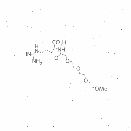 COCCOCCOCCOCC(=O)NC(CCCNC(=N)N)C(=O)O